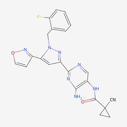 N#CC1(C(=O)Nc2cnc(-c3cc(-c4ccon4)n(Cc4ccccc4F)n3)nc2N)CC1